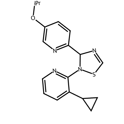 CC(C)Oc1ccc(C2N=CSN2c2ncccc2C2CC2)nc1